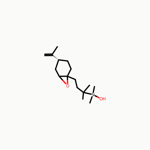 C=C(C)[C@@H]1CCC2(CCC(C)(C)[Si](C)(C)O)OC2C1